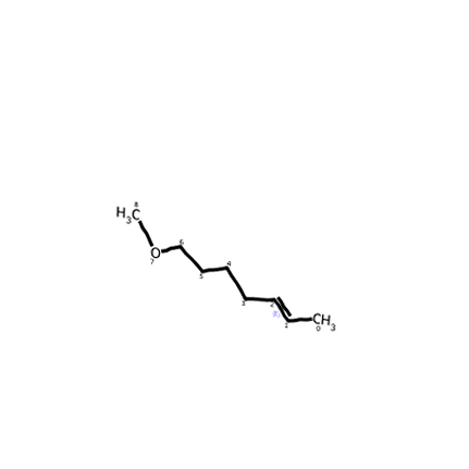 C/C=C/CCCCOC